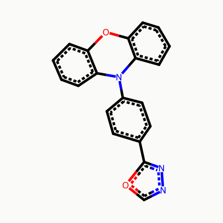 c1ccc2c(c1)Oc1ccccc1N2c1ccc(-c2nnco2)cc1